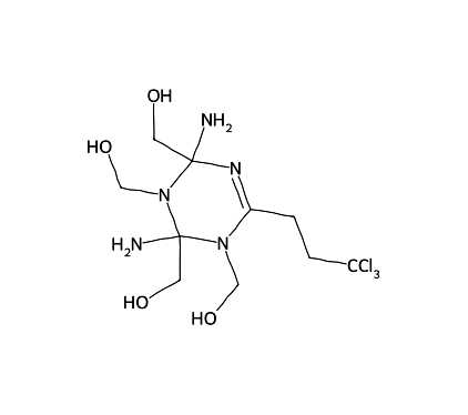 NC1(CO)N=C(CCC(Cl)(Cl)Cl)N(CO)C(N)(CO)N1CO